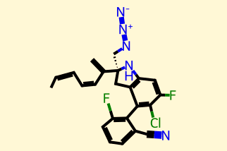 C=C(/C=C\C=C/C)[C@]1(CN=[N+]=[N-])Cc2c(cc(F)c(Cl)c2-c2c(F)cccc2C#N)N1